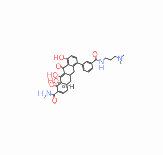 CN(C)CCCNC(=O)c1cccc(-c2ccc(O)c3c2CC2C[C@H]4CC=C(C(N)=O)C(=O)[C@@]4(O)C(O)=C2C3=O)c1